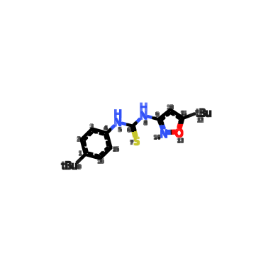 CC(C)(C)c1ccc(NC(=S)Nc2cc(C(C)(C)C)on2)cc1